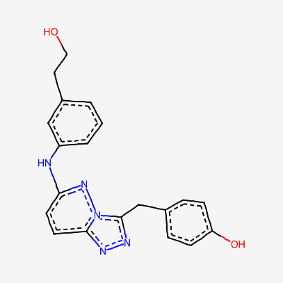 OCCc1cccc(Nc2ccc3nnc(Cc4ccc(O)cc4)n3n2)c1